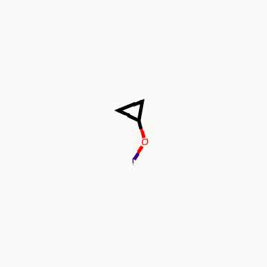 IOC1CC1